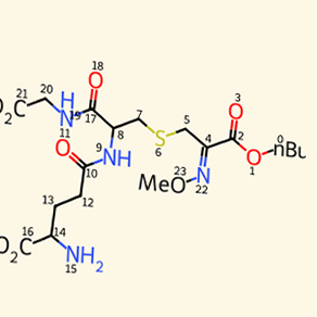 CCCCOC(=O)C(CSCC(NC(=O)CCC(N)C(=O)O)C(=O)NCC(=O)O)=NOC